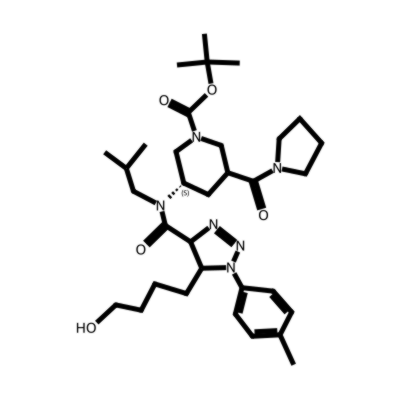 Cc1ccc(N2N=NC(C(=O)N(CC(C)C)[C@H]3CC(C(=O)N4CCCC4)CN(C(=O)OC(C)(C)C)C3)C2CCCCO)cc1